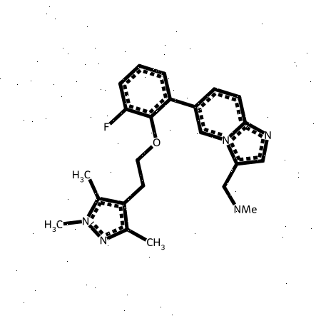 CNCc1cnc2ccc(-c3cccc(F)c3OCCc3c(C)nn(C)c3C)cn12